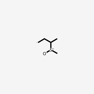 [CH2]CC(C)[S+](C)[O-]